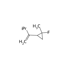 C=C(C(C)C)C1CC1(C)F